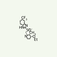 CCOc1ccnc(C[S+]([O-])c2nc3cc(C(F)(F)F)ccc3[nH]2)c1C